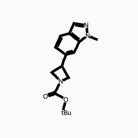 Cn1ncc2ccc(C3CN(C(=O)OC(C)(C)C)C3)cc21